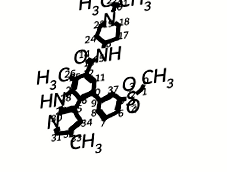 CCS(=O)(=O)c1cccc(-c2cc(C(=O)NC3CCN(C(C)C)CC3)c(C)c3[nH]c4ncc(C)cc4c23)c1